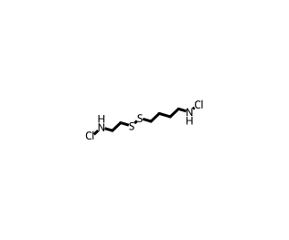 ClNCCCCSSCCNCl